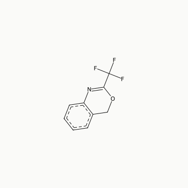 FC(F)(F)C1=Nc2ccccc2CO1